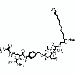 CCC=CCC=CCCCCCC(CCCCCCC)C(=O)COC(=O)C(C)(C)NC(=O)C(CC(C)C)NC(=O)OCc1ccc(NC(=O)C(CCCNC(N)=O)NC(=O)C(N)C(C)C)cc1